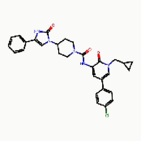 O=C(Nc1cc(-c2ccc(Cl)cc2)cn(CC2CC2)c1=O)N1CCC(n2cc(-c3ccccc3)[nH]c2=O)CC1